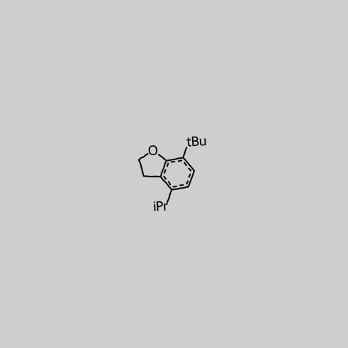 CC(C)c1ccc(C(C)(C)C)c2c1CCO2